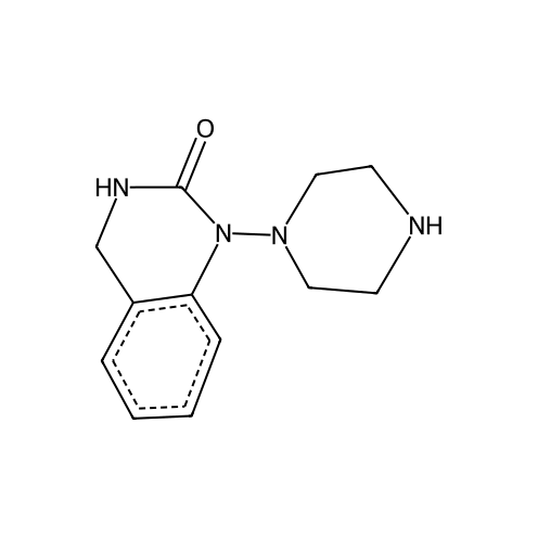 O=C1NCc2ccccc2N1N1CCNCC1